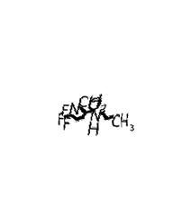 CCCCNC(=O)c1ccc(C(F)(F)F)nc1C